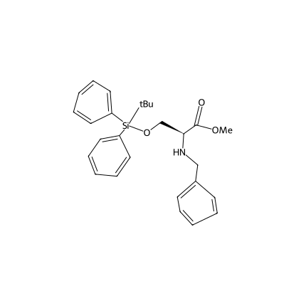 COC(=O)[C@H](CO[Si](c1ccccc1)(c1ccccc1)C(C)(C)C)NCc1ccccc1